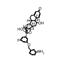 C[C@]12C=CC(=O)C=C1CC[C@@H]1[C@@H]2[C@@H](O)C[C@@]2(C)[C@H]1C[C@H]1O[C@H](c3cc(F)cc(OCc4cccc(N)c4)c3)O[C@]12C(=O)CO